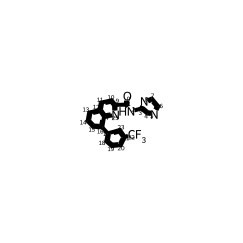 O=C(Nc1cnccn1)c1ccc2cccc(-c3cccc(C(F)(F)F)c3)c2n1